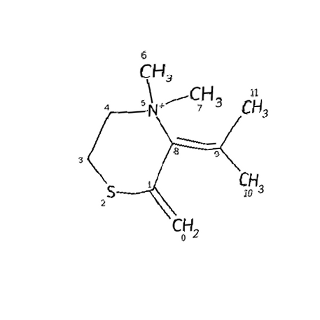 C=C1SCC[N+](C)(C)C1=C(C)C